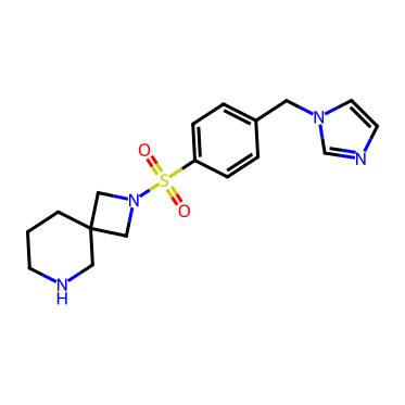 O=S(=O)(c1ccc(Cn2ccnc2)cc1)N1CC2(CCCNC2)C1